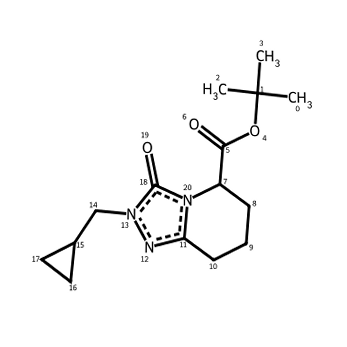 CC(C)(C)OC(=O)C1CCCc2nn(CC3CC3)c(=O)n21